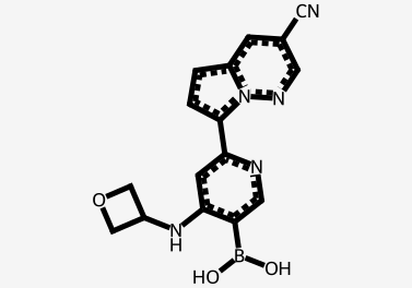 N#Cc1cnn2c(-c3cc(NC4COC4)c(B(O)O)cn3)ccc2c1